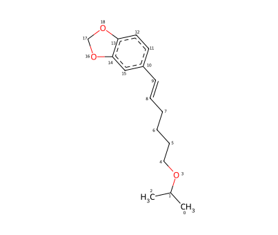 CC(C)OCCCCC=Cc1ccc2c(c1)OCO2